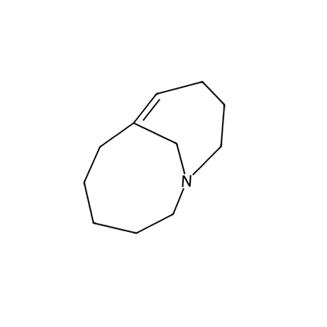 C1=C2CCCCCN(CCC1)C2